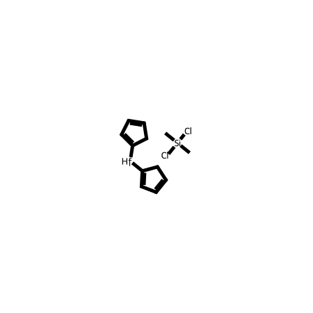 C1=CC[C]([Hf][C]2=CC=CC2)=C1.C[Si](C)(Cl)Cl